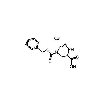 O=C(O)C1CN(C(=O)OCc2ccccc2)CCN1.[Cu]